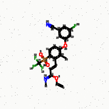 C=COC(/C=C/c1c(S(=O)(=O)C(F)(F)F)ccc(Oc2cc(F)cc(C#N)c2)c1C)=N\C